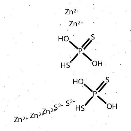 OP(O)(=S)S.OP(O)(=S)S.[S-2].[S-2].[Zn+2].[Zn+2].[Zn+2].[Zn+2].[Zn+2]